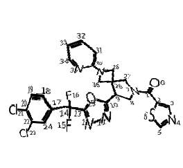 O=C(c1cncs1)N1CC(c2nnc(C(F)(F)c3ccc(Cl)c(Cl)c3)o2)C2(C1)CN(c1ccccn1)C2